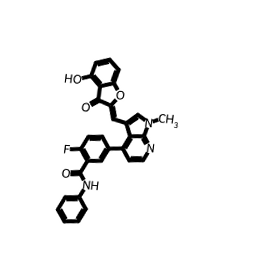 Cn1cc(C=C2Oc3cccc(O)c3C2=O)c2c(-c3ccc(F)c(C(=O)Nc4ccccc4)c3)ccnc21